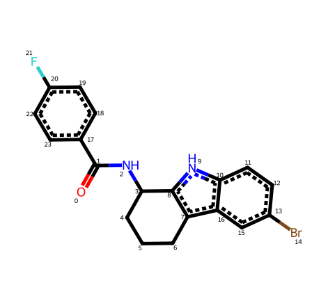 O=C(NC1CCCc2c1[nH]c1ccc(Br)cc21)c1ccc(F)cc1